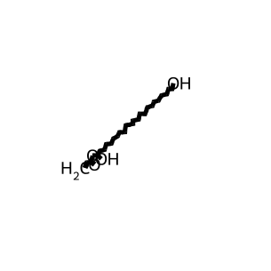 C=CC(=O)OC(O)CCCCCCCCCCCCCCCCCCCCCCO